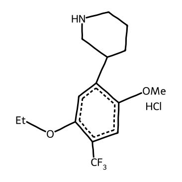 CCOc1cc(C2CCCNC2)c(OC)cc1C(F)(F)F.Cl